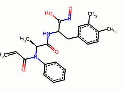 C=CC(=O)N(c1ccccc1)[C@@H](C)C(=O)NC(Cc1ccc(C)c(C)c1)B(O)N=O